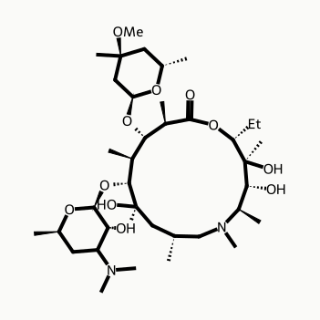 CC[C@H]1OC(=O)[C@H](C)[C@@H](O[C@H]2C[C@@](C)(OC)C[C@H](C)O2)[C@H](C)[C@@H](O[C@@H]2O[C@H](C)CC(N(C)C)[C@H]2O)[C@](C)(O)C[C@@H](C)CN(C)[C@H](C)[C@@H](O)[C@]1(C)O